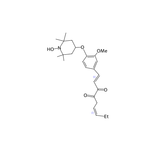 CC/C=C\CC(=O)C(=O)/C=C/c1ccc(OC2CC(C)(C)N(O)C(C)(C)C2)c(OC)c1